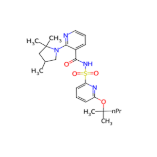 CCCC(C)(C)Oc1cccc(S(=O)(=O)NC(=O)c2cccnc2N2CC(C)CC2(C)C)n1